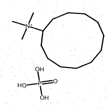 C[N+](C)(C)C1CCCCCCCCCCC1.O=P(O)(O)O